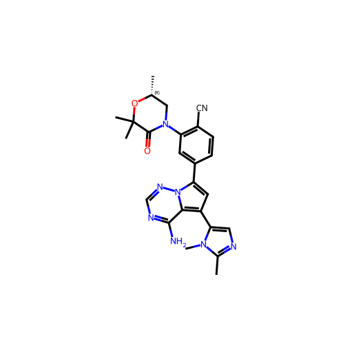 Cc1ncc(-c2cc(-c3ccc(C#N)c(N4C[C@@H](C)OC(C)(C)C4=O)c3)n3ncnc(N)c23)n1C